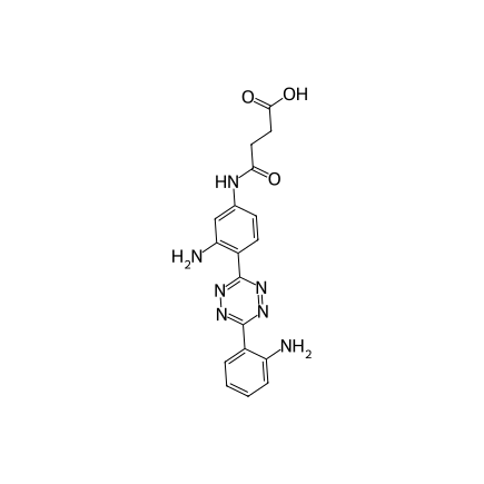 Nc1ccccc1-c1nnc(-c2ccc(NC(=O)CCC(=O)O)cc2N)nn1